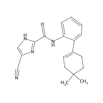 CC1(C)CC=C(c2ccccc2NC(=O)c2nc(C#N)c[nH]2)CC1